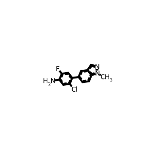 Cn1ncc2cc(-c3cc(F)c(N)cc3Cl)ccc21